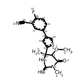 COC1C(=O)N(C)C(=N)N[C@]1(C)c1cc(-c2ccc(F)c(C#N)c2)cs1